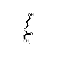 C=CC(=O)O[CH]CCO